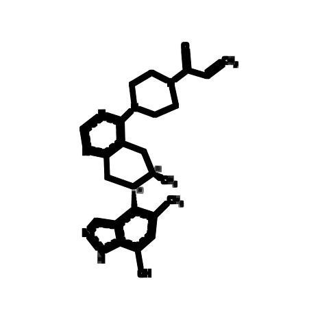 C=CC(=O)N1CCN(c2ncnc3c2C[C@@H](C)[C@H](c2c(C)cc(O)c4[nH]ncc24)C3)CC1